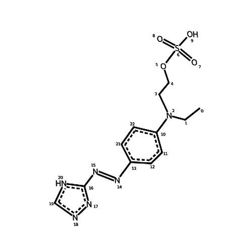 CCN(CCOS(=O)(=O)O)c1ccc(N=Nc2nnc[nH]2)cc1